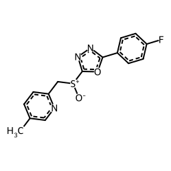 Cc1ccc(C[S+]([O-])c2nnc(-c3ccc(F)cc3)o2)nc1